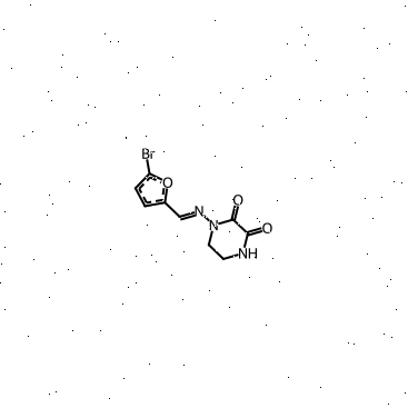 O=C1NCCN(/N=C/c2ccc(Br)o2)C1=O